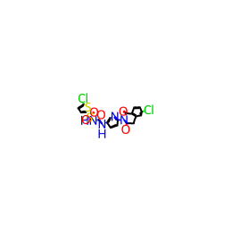 O=C(Nc1ccc(N2C(=O)Cc3cc(Cl)ccc3C2=O)nc1)NS(=O)(=O)c1ccc(Cl)s1